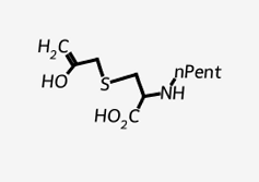 C=C(O)CSCC(NCCCCC)C(=O)O